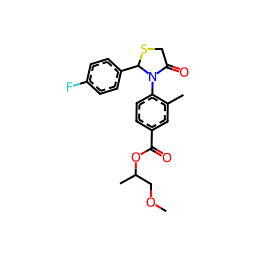 COCC(C)OC(=O)c1ccc(N2C(=O)CSC2c2ccc(F)cc2)c(C)c1